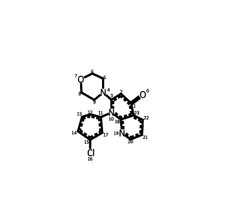 O=c1cc(N2CCOCC2)n(-c2cccc(Cl)c2)c2ncccc12